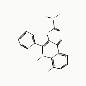 CCN(C(=O)Oc1c(-c2ccccc2)n(C)c2c(Cl)cccc2c1=O)C(C)(C)C